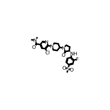 CN(C)C(=O)c1cnc(N2CCC(N3CC[C@H](Nc4ccc(S(C)(=O)=O)cc4F)C3=O)CC2)c(Cl)c1